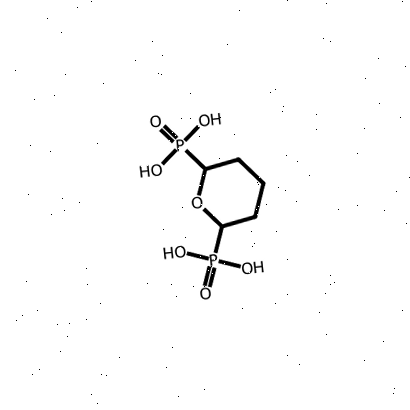 O=P(O)(O)C1CCCC(P(=O)(O)O)O1